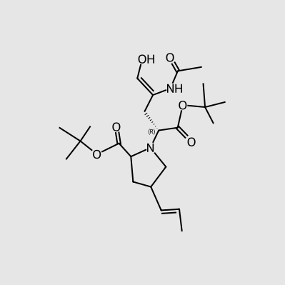 CC=CC1CC(C(=O)OC(C)(C)C)N([C@H](CC(=CO)NC(C)=O)C(=O)OC(C)(C)C)C1